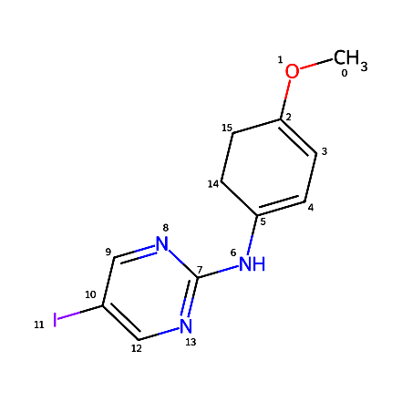 COC1=CC=C(Nc2ncc(I)cn2)CC1